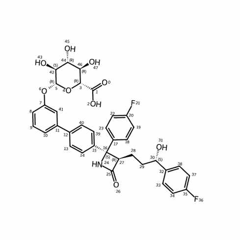 O=C(O)[C@@H]1O[C@H](Oc2cccc(-c3ccc([C@@]4(c5ccc(F)cc5)NC(=O)[C@@H]4CC[C@H](O)c4ccc(F)cc4)cc3)c2)[C@@H](O)[C@H](O)[C@H]1O